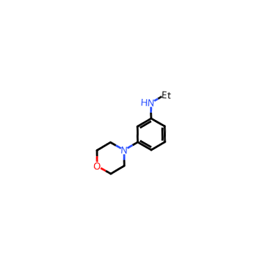 CCNc1cccc(N2CCOCC2)c1